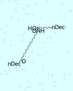 CCCCCCCCCCCCCCCC[C@@H](CO)NC(=O)CCCCCCCCCCCCCCC(=O)CCCCCCCCCCC